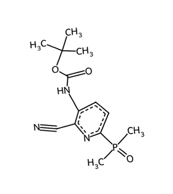 CC(C)(C)OC(=O)Nc1ccc(P(C)(C)=O)nc1C#N